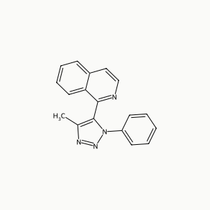 Cc1nnn(-c2ccccc2)c1-c1nccc2ccccc12